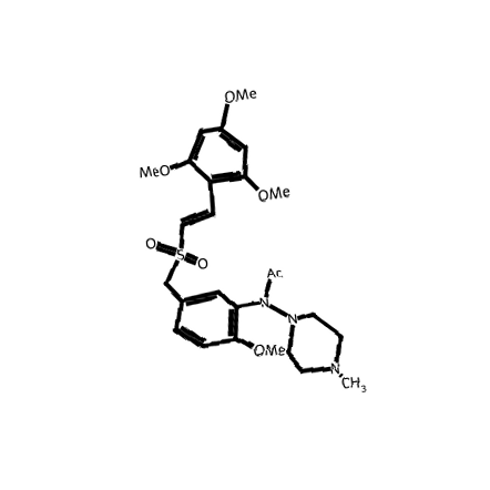 COc1cc(OC)c(C=CS(=O)(=O)Cc2ccc(OC)c(N(C(C)=O)N3CCN(C)CC3)c2)c(OC)c1